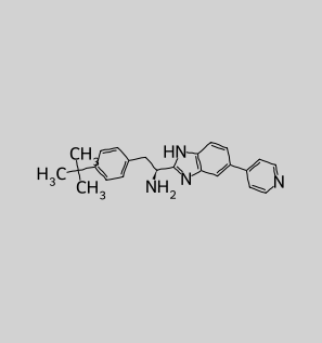 CC(C)(C)c1ccc(C[C@H](N)c2nc3cc(-c4ccncc4)ccc3[nH]2)cc1